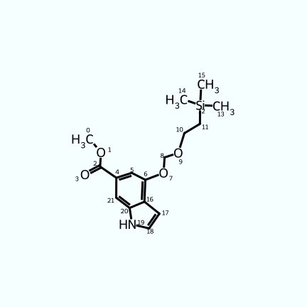 COC(=O)c1cc(OCOCC[Si](C)(C)C)c2cc[nH]c2c1